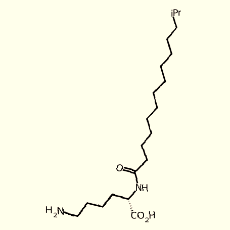 CC(C)CCCCCCCCCCCC(=O)N[C@@H](CCCCN)C(=O)O